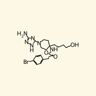 Nc1n[nH]c(N2CCC(CCCCO)(NS(=O)(=O)Cc3ccc(Br)cc3)CC2)n1